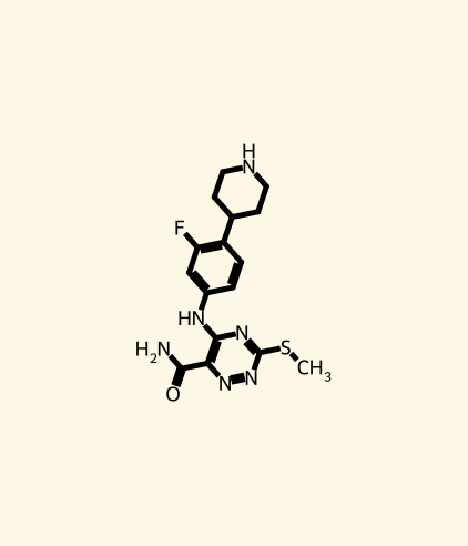 CSc1nnc(C(N)=O)c(Nc2ccc(C3CCNCC3)c(F)c2)n1